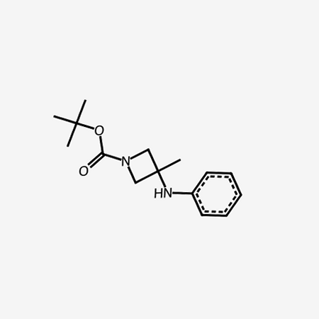 CC1(Nc2ccccc2)CN(C(=O)OC(C)(C)C)C1